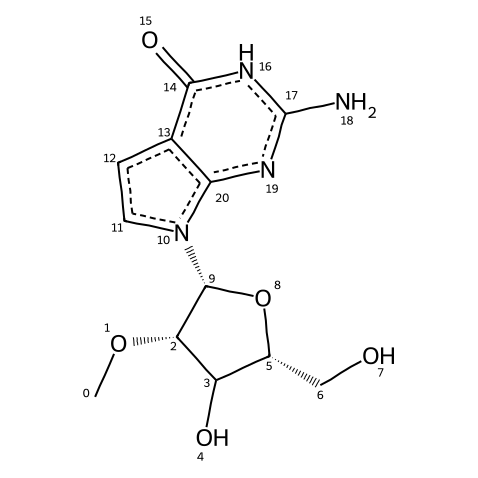 CO[C@H]1C(O)[C@@H](CO)O[C@H]1n1ccc2c(=O)[nH]c(N)nc21